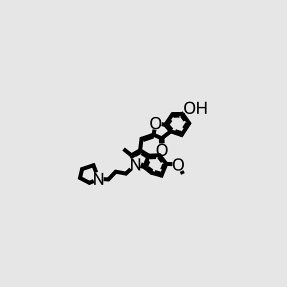 COc1ccc2c(c1)c(C=C1Oc3cc(O)ccc3C1=O)c(C)n2CCCN1CCCC1